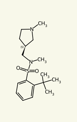 CN1CC[C@H](CN(C)S(=O)(=O)c2ccccc2C(C)(C)C)C1